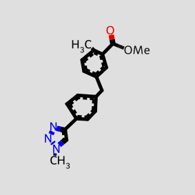 COC(=O)c1cc(Cc2ccc(-c3cn(C)nn3)cc2)ccc1C